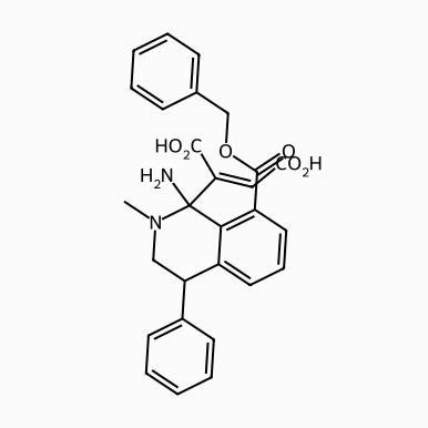 CN1CC(c2ccccc2)c2cccc(C(=O)OCc3ccccc3)c2C1(N)C(=CC(=O)O)C(=O)O